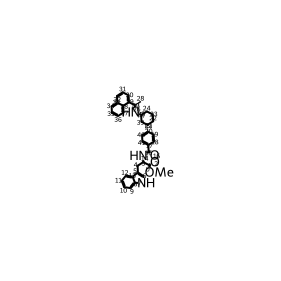 COC(=O)C(Cc1c[nH]c2ccccc12)NC(=O)c1ccc([C@H]2CCC[C@H](N[C@H](C)c3cccc4ccccc34)C2)cc1